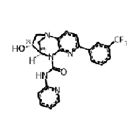 O=C(Nc1ccccn1)N1c2nc(-c3cccc(C(F)(F)F)c3)ccc2N2C[C@@H](O)[C@H]1C2